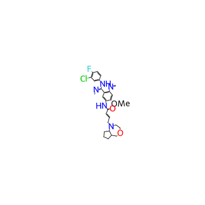 C=Nc1cc(OC)c(NC(=O)/C=C/CN2CCOCC3CCCC32)cc1/C(=N\C)Nc1ccc(F)c(Cl)c1